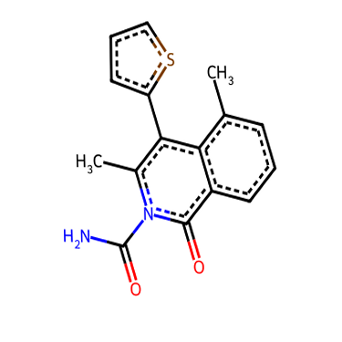 Cc1cccc2c(=O)n(C(N)=O)c(C)c(-c3cccs3)c12